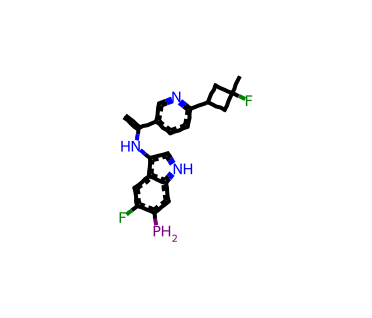 C=C(Nc1c[nH]c2cc(P)c(F)cc12)c1ccc(C2CC(C)(F)C2)nc1